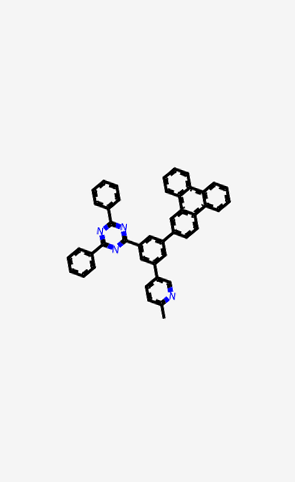 Cc1ccc(-c2cc(-c3ccc4c5ccccc5c5ccccc5c4c3)cc(-c3nc(-c4ccccc4)nc(-c4ccccc4)n3)c2)cn1